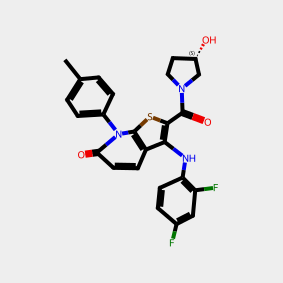 Cc1ccc(-n2c(=O)ccc3c(Nc4ccc(F)cc4F)c(C(=O)N4CC[C@H](O)C4)sc32)cc1